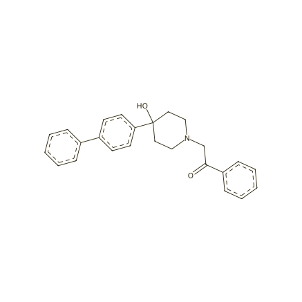 O=C(CN1CCC(O)(c2ccc(-c3ccccc3)cc2)CC1)c1ccccc1